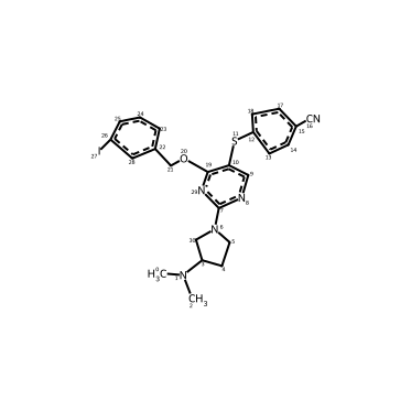 CN(C)C1CCN(c2ncc(Sc3ccc(C#N)cc3)c(OCc3cccc(I)c3)n2)C1